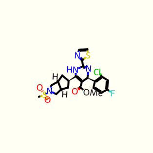 COC(=O)C1=C([C@H]2C[C@@H]3CN(S(C)(=O)=O)C[C@@H]3C2)NC(c2nccs2)=N[C@H]1c1ccc(F)cc1Cl